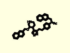 CC(=O)N(Cc1ccc2ccccc2c1)c1ccc(CCn2nncc2C2CCNCC2OCc2ccc3ccccc3c2)cc1